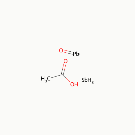 CC(=O)O.[O]=[Pb].[SbH3]